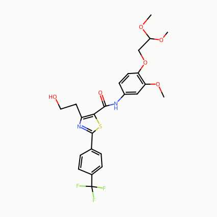 COc1cc(NC(=O)c2sc(-c3ccc(C(F)(F)F)cc3)nc2CCO)ccc1OCC(OC)OC